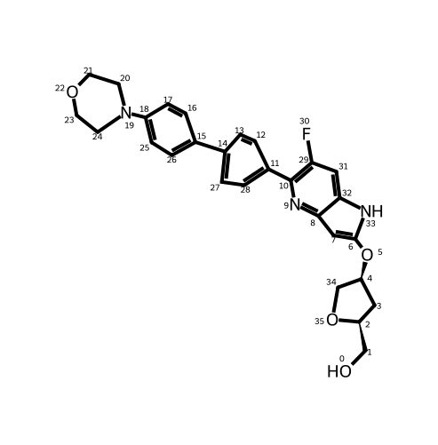 OC[C@@H]1C[C@H](Oc2cc3nc(-c4ccc(-c5ccc(N6CCOCC6)cc5)cc4)c(F)cc3[nH]2)CO1